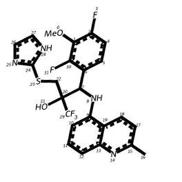 COc1c(F)ccc(C(Nc2cccc3nc(C)ccc23)C(O)(CSc2ncc[nH]2)C(F)(F)F)c1F